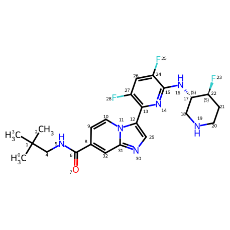 CC(C)(C)CNC(=O)c1ccn2c(-c3nc(N[C@H]4CNCC[C@@H]4F)c(F)cc3F)cnc2c1